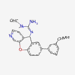 COc1cccc(-c2ccc3c(c2)C(/N=C(/N)N(C)C=O)c2ccncc2O3)c1